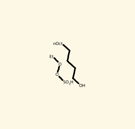 CCCCCCCCCCCCO.CCOOS(=O)(=O)O